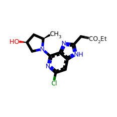 CCOC(=O)Cc1nc2c(N3C[C@@H](O)C[C@H]3C)nc(Cl)cc2[nH]1